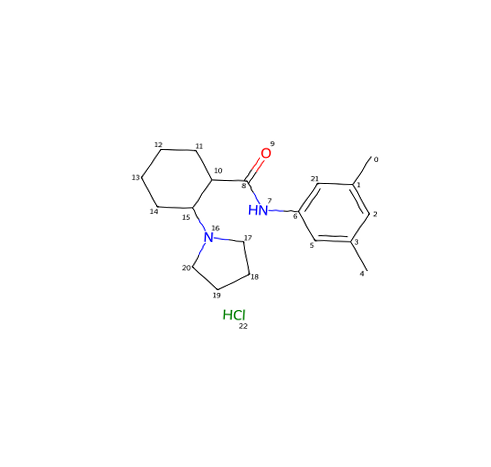 Cc1cc(C)cc(NC(=O)C2CCCCC2N2CCCC2)c1.Cl